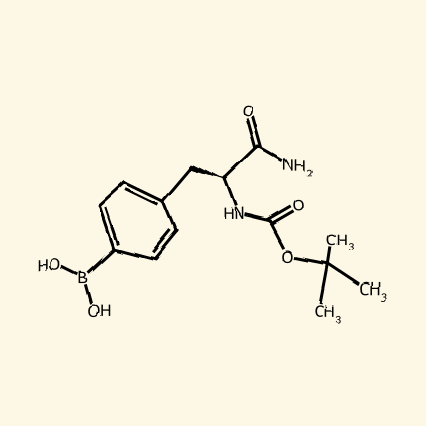 CC(C)(C)OC(=O)N[C@@H](Cc1ccc(B(O)O)cc1)C(N)=O